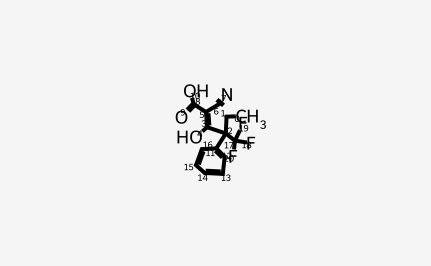 CCC(C(O)=C(C#N)C(=O)O)(c1ccccc1)C(F)(F)F